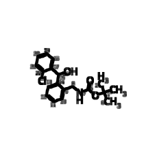 CC(C)(C)OC(=O)NCc1ccccc1C(O)c1ccccc1Cl